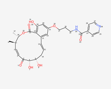 C[C@@H]1/C=C\C(=O)[C@@H](O)[C@@H](O)C/C=C/c2cc(OCCCNC(=O)c3ccncc3)cc(O)c2C(=O)O[C@H]1C